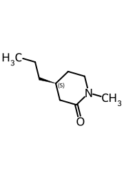 CCC[C@H]1CCN(C)C(=O)C1